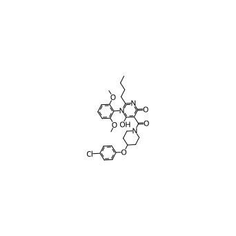 CCCCc1nc(=O)c(C(=O)N2CCC(Oc3ccc(Cl)cc3)CC2)c(O)n1-c1c(OC)cccc1OC